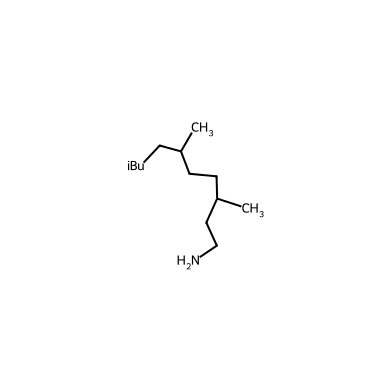 CCC(C)CC(C)CCC(C)CCN